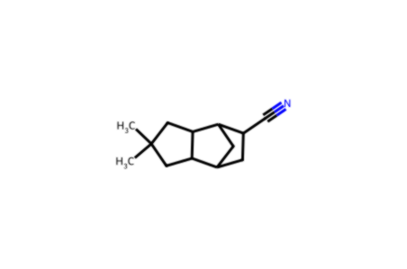 CC1(C)CC2C3CC(C#N)C(C3)C2C1